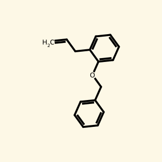 C=CCc1ccccc1OCc1ccccc1